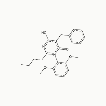 CCCCc1nc(O)c(Cc2ccccc2)c(=O)n1-c1c(OC)cccc1OC